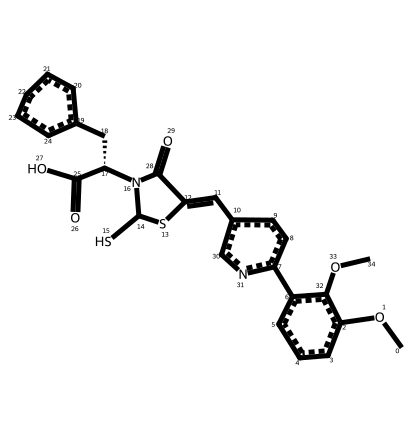 COc1cccc(-c2ccc(/C=C3\SC(S)N([C@@H](Cc4ccccc4)C(=O)O)C3=O)cn2)c1OC